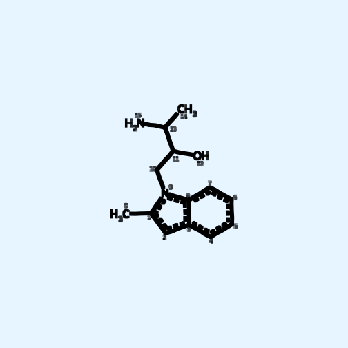 Cc1cc2ccccc2n1CC(O)C(C)N